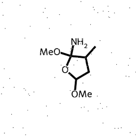 COC1CC(C)C(N)(OC)O1